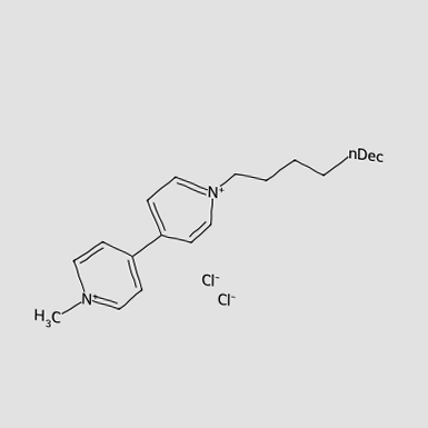 CCCCCCCCCCCCCC[n+]1ccc(-c2cc[n+](C)cc2)cc1.[Cl-].[Cl-]